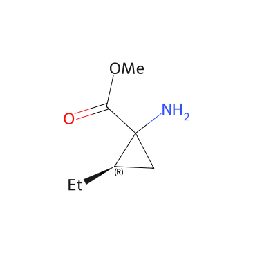 CC[C@@H]1CC1(N)C(=O)OC